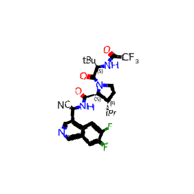 CC(C)[C@H]1CCN(C(=O)[C@@H](NC(=O)C(F)(F)F)C(C)(C)C)[C@@H]1C(=O)NC(C#N)c1cncc2cc(F)c(F)cc12